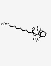 CCCCCCCCCCCCCCCCCC(=O)OC1CC2CCC1(C)C2(C)C